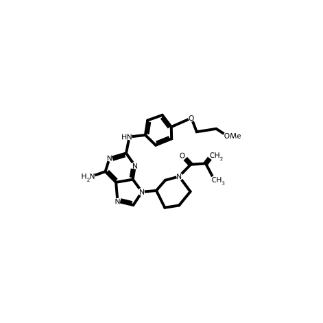 C=C(C)C(=O)N1CCCC(n2cnc3c(N)nc(Nc4ccc(OCCOC)cc4)nc32)C1